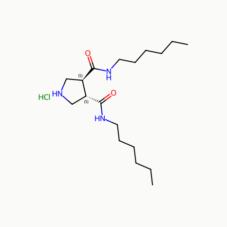 CCCCCCNC(=O)[C@@H]1CNC[C@H]1C(=O)NCCCCCC.Cl